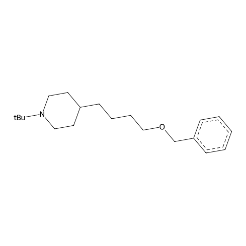 CC(C)(C)N1CCC(CCCCOCc2ccccc2)CC1